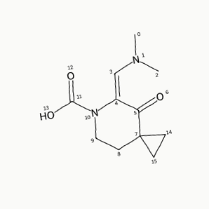 CN(C)C=C1C(=O)C2(CCN1C(=O)O)CC2